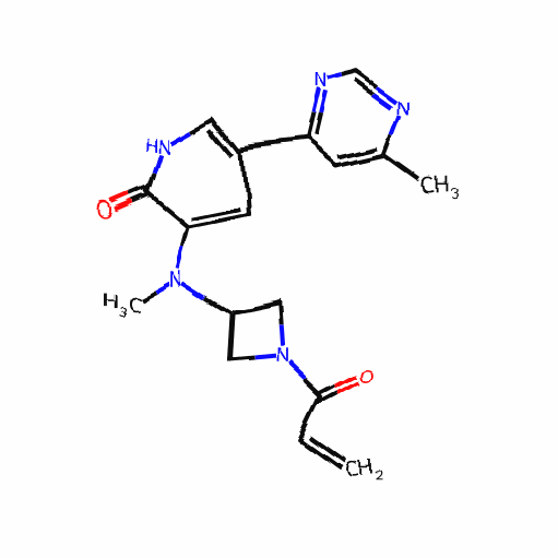 C=CC(=O)N1CC(N(C)c2cc(-c3cc(C)ncn3)c[nH]c2=O)C1